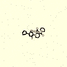 CC(C)(C)OC(=O)NC1(C(=O)N2CCCCC2)CCCN(c2ccc(-c3ccccc3)cc2F)C1